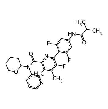 Cc1c(C(=O)N(c2cccnc2)C2CCCCO2)nc(-c2c(F)cc(NC(=O)C(C)C)cc2F)c(F)c1C